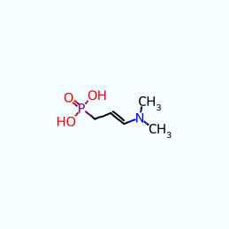 CN(C)C=CCP(=O)(O)O